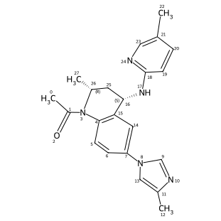 CC(=O)N1c2ccc(-n3cnc(C)c3)cc2[C@@H](Nc2ccc(C)cn2)C[C@H]1C